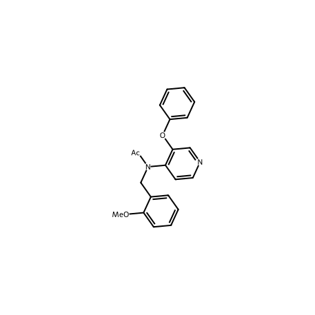 COc1ccccc1CN(C(C)=O)c1ccncc1Oc1ccccc1